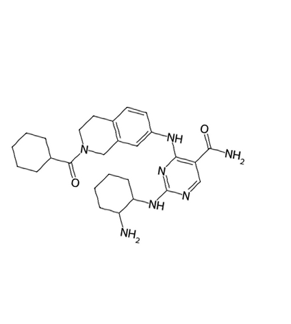 NC(=O)c1cnc(NC2CCCCC2N)nc1Nc1ccc2c(c1)CN(C(=O)C1CCCCC1)CC2